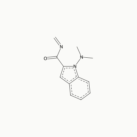 C=NC(=O)c1cc2ccccc2n1N(C)C